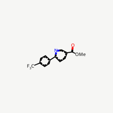 COC(=O)c1ccc(-c2ccc(C(F)(F)F)cc2)nc1